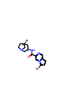 O=C(N[C@@H]1C[C@H]2CCN(C2)C1)c1cn2c(Br)ccc2cn1